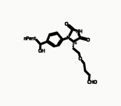 CCCCCC(O)c1ccc(N2C(=O)NC(=O)[C@@H]2CCOCCCC=O)cc1